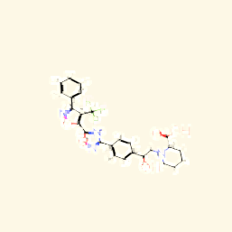 O=C(O)[C@H]1CCCCN1CC(O)c1ccc(-c2noc(-c3onc(-c4ccccc4)c3C(F)(F)F)n2)cc1